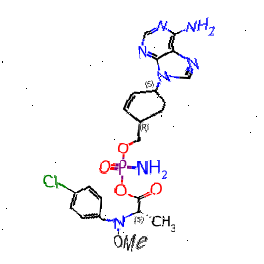 CON(c1ccc(Cl)cc1)[C@@H](C)C(=O)OP(N)(=O)OC[C@H]1C=C[C@@H](n2cnc3c(N)ncnc32)C1